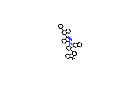 CC1(C)c2ccccc2-c2c(-c3cccc4c3c3cc5ccccc5cc3n4-c3nnc(-c4ccc(-c5ccccc5)c5ccccc45)c4ccccc34)cccc21